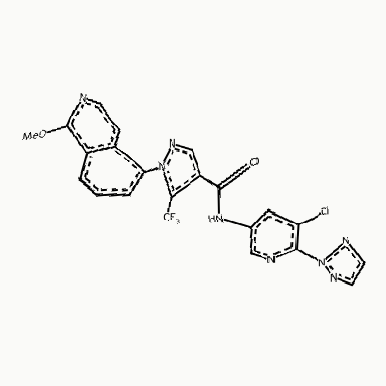 COc1nccc2c(-n3ncc(C(=O)Nc4cnc(-n5nccn5)c(Cl)c4)c3C(F)(F)F)cccc12